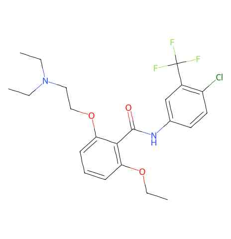 CCOc1cccc(OCCN(CC)CC)c1C(=O)Nc1ccc(Cl)c(C(F)(F)F)c1